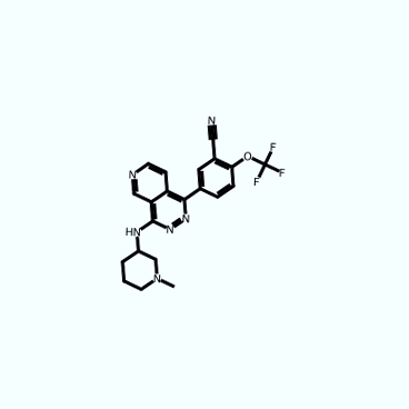 CN1CCCC(Nc2nnc(-c3ccc(OC(F)(F)F)c(C#N)c3)c3ccncc23)C1